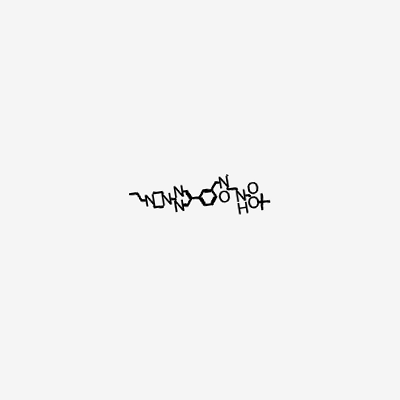 CCCN1CCN(c2ncc(-c3cccc(CN(C)C(=O)CNC(=O)OC(C)(C)C)c3)cn2)CC1